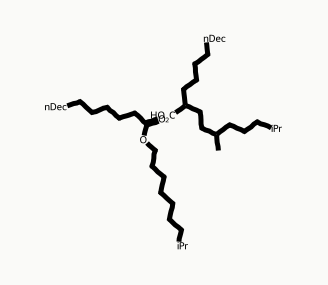 CCCCCCCCCCCCCCC(CCC(C)CCCC(C)C)C(=O)O.CCCCCCCCCCCCCCCC(=O)OCCCCCCCC(C)C